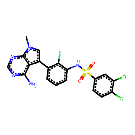 Cn1cc(-c2cccc(NS(=O)(=O)c3ccc(Cl)c(Cl)c3)c2F)c2c(N)ncnc21